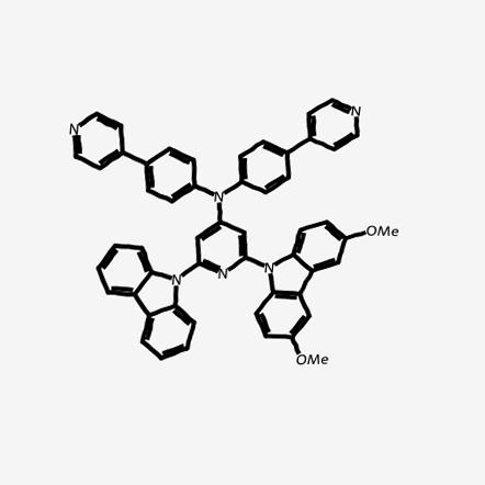 COc1ccc2c(c1)c1cc(OC)ccc1n2-c1cc(N(c2ccc(-c3ccncc3)cc2)c2ccc(-c3ccncc3)cc2)cc(-n2c3ccccc3c3ccccc32)n1